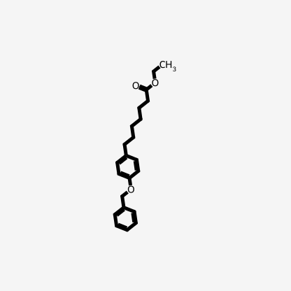 CCOC(=O)CCCCCCc1ccc(OCc2ccccc2)cc1